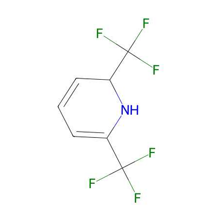 FC(F)(F)C1=CC=CC(C(F)(F)F)N1